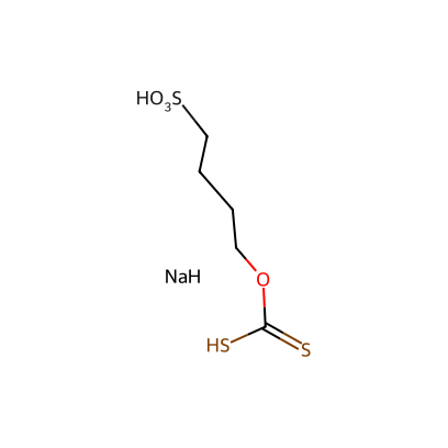 O=S(=O)(O)CCCCOC(=S)S.[NaH]